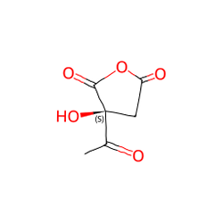 CC(=O)[C@@]1(O)CC(=O)OC1=O